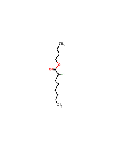 CCCCCCC(F)C(=O)OCCCC